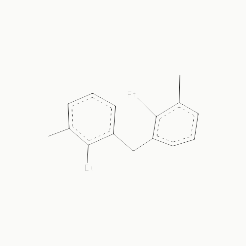 CCc1c(C)cccc1Cc1cccc(C)c1CC